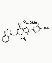 COC(=O)c1c(-c2ccc(OC)c(C)c2)sc2c(N)c(Cc3cccc4ccccc34)cc(=O)n12